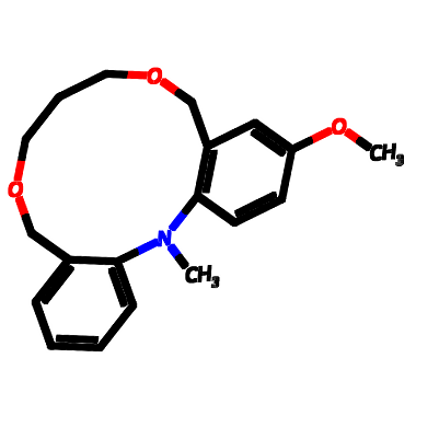 COc1ccc2c(c1)COCCCOCc1ccccc1N2C